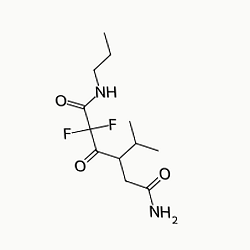 CCCNC(=O)C(F)(F)C(=O)C(CC(N)=O)C(C)C